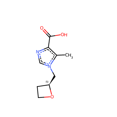 Cc1c(C(=O)O)ncn1C[C@@H]1CCO1